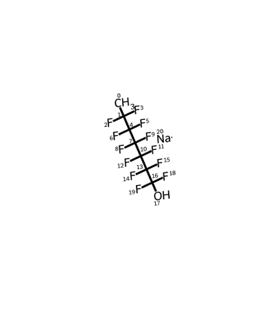 CC(F)(F)C(F)(F)C(F)(F)C(F)(F)C(F)(F)C(O)(F)F.[Na]